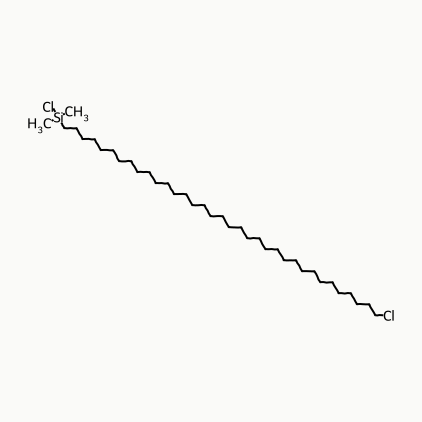 C[Si](C)(Cl)CCCCCCCCCCCCCCCCCCCCCCCCCCCCCCCCCCCCl